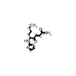 CSCC[C@H](Nc1nccs1)C(=O)C=CC(N)=O